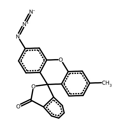 Cc1ccc2c(c1)Oc1cc(N=[N+]=[N-])ccc1C21OC(=O)c2ccccc21